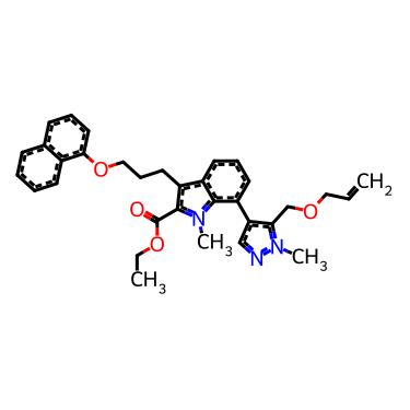 C=CCOCc1c(-c2cccc3c(CCCOc4cccc5ccccc45)c(C(=O)OCC)n(C)c23)cnn1C